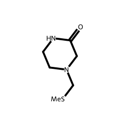 CSCN1CCNC(=O)C1